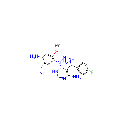 CC(C)Oc1cc(N)c(C=N)cc1N(N)C1NC=NC(N)=C1C(=N)c1ccc(F)cc1